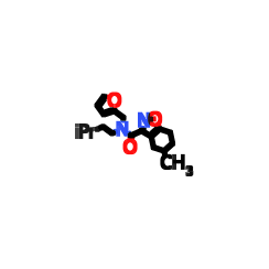 CC(C)CCN(Cc1ccco1)C(=O)c1noc2c1CC(C)CC2